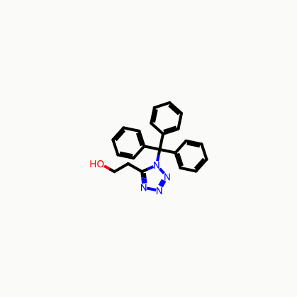 OCCc1nnnn1C(c1ccccc1)(c1ccccc1)c1ccccc1